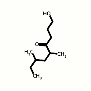 CCC(C)CC(C)C(=O)CCCO